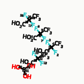 O=C(O)C(F)(F)C(F)(F)F.O=C(O)C(F)(F)C(F)(F)F.O=C(O)C(F)(F)C(F)(F)F.O=C(O)C(F)(F)C(F)(F)F.OB(O)O